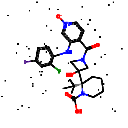 CC(C)(C)[C@]1(C2(O)CN(C(=O)c3cc[n+]([O-])cc3Nc3ccc(I)cc3F)C2)CCCCN1C(=O)O